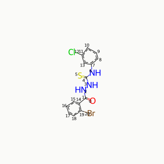 O=C(NNC(=S)Nc1cccc(Cl)c1)c1ccccc1Br